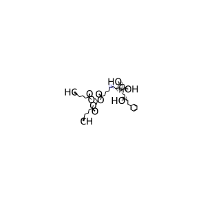 C#CCCCC(=O)OCC(COC(=O)CCCC#C)OC(=O)CCC/C=C\C[C@@H]1[C@@H](CC[C@@H](O)CCc2ccccc2)[C@H](O)C[C@@H]1O